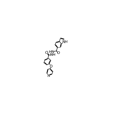 O=C(NNC(=O)c1ccc2cc[nH]c2c1)c1cccc(Oc2ccncc2)c1